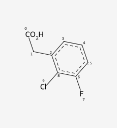 O=C(O)Cc1cc[c]c(F)c1Cl